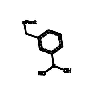 CCCCCCc1cccc(B(O)O)c1